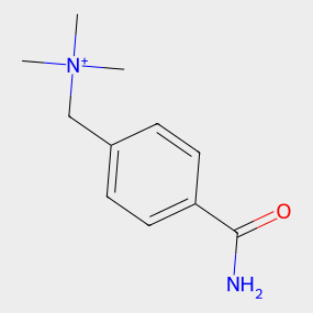 C[N+](C)(C)Cc1ccc(C(N)=O)cc1